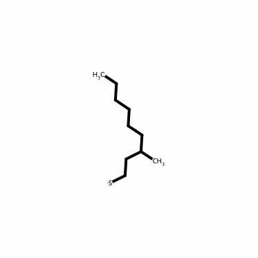 CCCCCCC(C)CC[S]